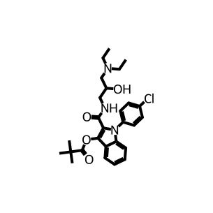 CCN(CC)CC(O)CNC(=O)c1c(OC(=O)C(C)(C)C)c2ccccc2n1-c1ccc(Cl)cc1